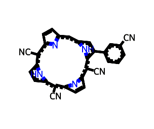 N#Cc1cccc(-c2cc3cc4nc(c(C#N)c5ccc([nH]5)c(C#N)c5nc(c(C#N)c2[nH]3)C=C5)C=C4)c1